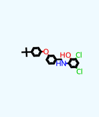 CC(C)(C)c1ccc(Oc2cccc(CNc3cc(Cl)cc(Cl)c3O)c2)cc1